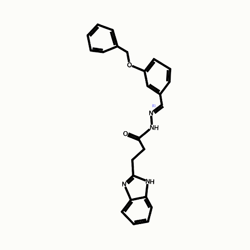 O=C(CCc1nc2ccccc2[nH]1)N/N=C/c1cccc(OCc2ccccc2)c1